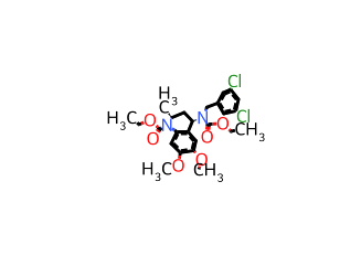 CCOC(=O)N(Cc1cc(Cl)cc(Cl)c1)[C@H]1C[C@@H](C)N(C(=O)OCC)c2cc(OC)c(OC)cc21